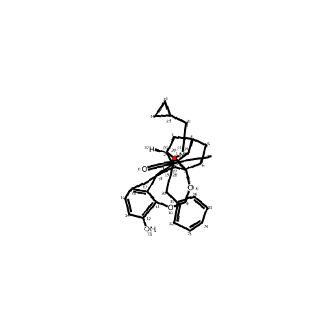 O=C1[C@H]2CC3CCC4(OCOc5c(O)ccc6c5C(CCN(CC5CC5)C3C6)C24)N1Cc1ccccc1